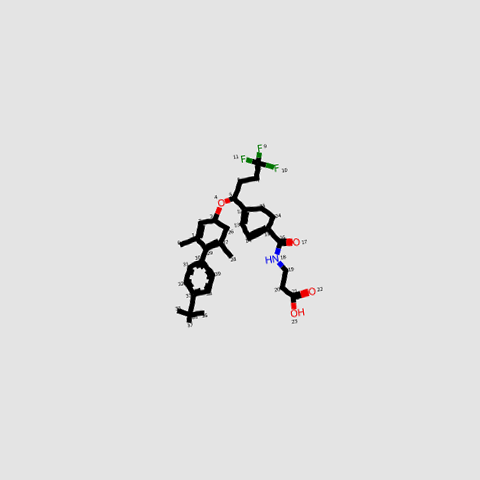 CC1=CC(OC(CCC(F)(F)F)C2=CC=C(C(=O)NCCC(=O)O)CC2)CC(C)=C1c1ccc(C(C)(C)C)cc1